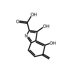 C=c1ccc2c(c1O)C(O)=C(C(=O)O)N=2